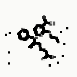 CCCSc1ncccc1C(=O)O.O=C(O)CCCC(=O)Nc1cccnc1